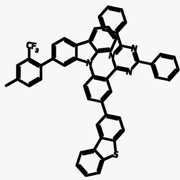 Cc1ccc(-c2ccc3c4ccccc4n(-c4ccc(-c5ccc6sc7ccccc7c6c5)cc4-c4nc(-c5ccccc5)nc(-c5ccccc5)n4)c3c2)c(C(F)(F)F)c1